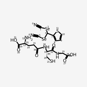 N#C[Se]C([Se]C#N)c1cccs1.N[C@@H](CCC(=O)N[C@@H](CS)C(=O)NCC(=O)O)C(=O)O